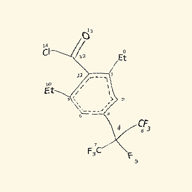 CCc1cc(C(F)(C(F)(F)F)C(F)(F)F)cc(CC)c1C(=O)Cl